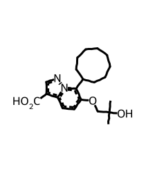 CC(C)(O)COc1ccc2c(C(=O)O)cnn2c1C1CCCCCCCC1